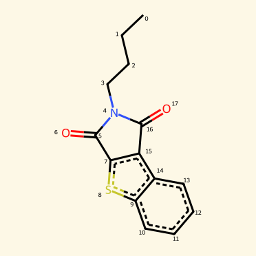 CCCCN1C(=O)c2sc3ccccc3c2C1=O